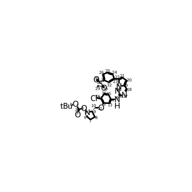 CC(C)(C)OC(=O)ON1CCC[C@H]1COc1cc(Nc2ncc3ccc(-c4cccc(S(C)(=O)=O)c4)n3n2)ccc1Cl